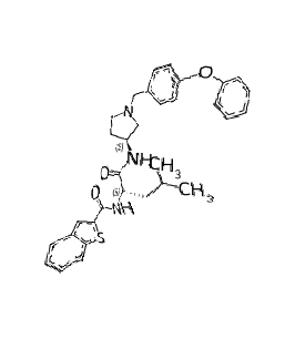 CC(C)C[C@H](NC(=O)c1cc2ccccc2s1)C(=O)N[C@H]1CCN(Cc2ccc(Oc3ccccc3)cc2)C1